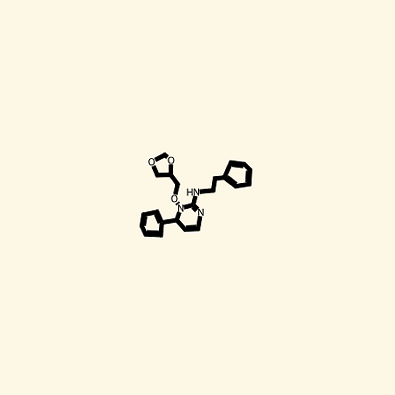 C1=CC(c2ccccc2)N(OCC2COCO2)C(NCCc2ccccc2)=N1